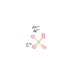 O=P([O-])([O-])[O-].[Al+3].[Cr+3].[Zn+2]